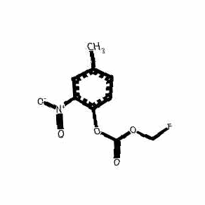 Cc1ccc(OC(=O)OCF)c([N+](=O)[O-])c1